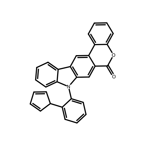 O=c1oc2ccccc2c2cc3c4ccccc4n(-c4ccccc4C4C=CC=C4)c3cc12